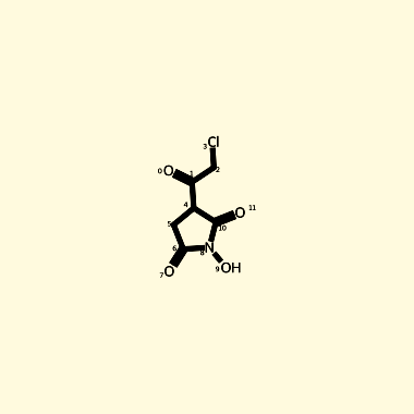 O=C(CCl)C1CC(=O)N(O)C1=O